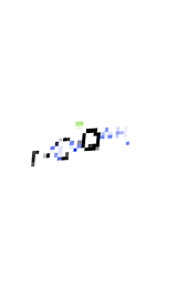 CC(C)N1CCN(c2ccc(N)cc2F)CC1